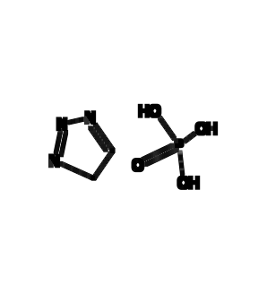 C1=NN=NC1.O=P(O)(O)O